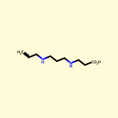 C=CCNCCCNCCC(=O)O